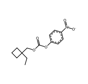 CCC1(COC(=O)Oc2ccc([N+](=O)[O-])cc2)CCC1